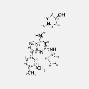 Cc1ccc(-c2cnn3c(NCCN4CCC(O)CC4)cc(NC4CCCC4)nc23)cc1C